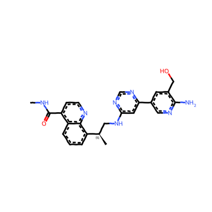 CNC(=O)c1ccnc2c([C@H](C)CNc3cc(-c4cnc(N)c(CO)c4)ncn3)cccc12